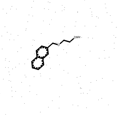 COCCOCc1ccc2ccccc2c1